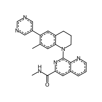 CNC(=O)c1cc2cccnc2c(N2CCCc3cc(-c4cncnc4)c(C)cc32)n1